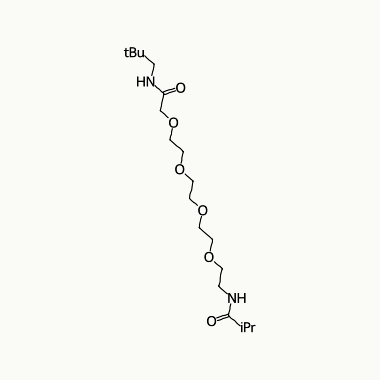 CC(C)C(=O)NCCOCCOCCOCCOCC(=O)NCC(C)(C)C